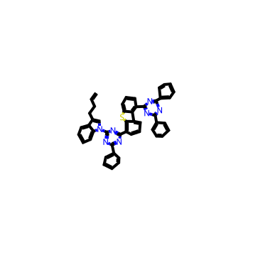 C=CCCc1cn(-c2nc(-c3ccccc3)nc(-c3cccc4c3sc3cccc(-c5nc(-c6ccccc6)nc(-c6ccccc6)n5)c34)n2)c2ccccc12